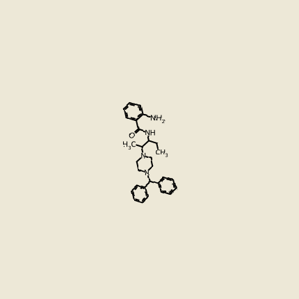 CCC(NC(=O)c1ccccc1N)C(C)N1CCN(C(c2ccccc2)c2ccccc2)CC1